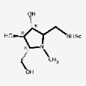 CC(=O)NCC1[C@@H](O)[C@H](O)[C@@H](CO)N1C